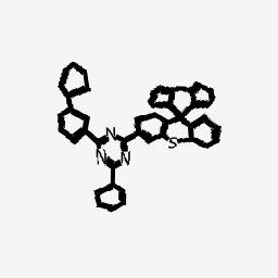 c1ccc(-c2cccc(-c3nc(-c4ccccc4)nc(-c4ccc5c(c4)Sc4ccccc4C54c5ccccc5-c5ccccc54)n3)c2)cc1